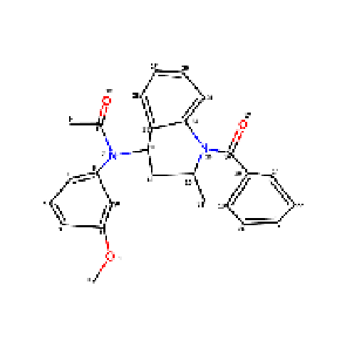 COc1cccc(N(C(C)=O)C2CC(C)N(C(=O)c3ccccc3)c3ccccc32)c1